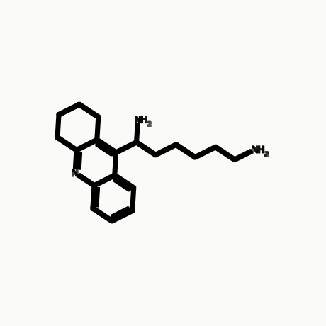 NCCCCCC(N)c1c2c(nc3ccccc13)CCCC2